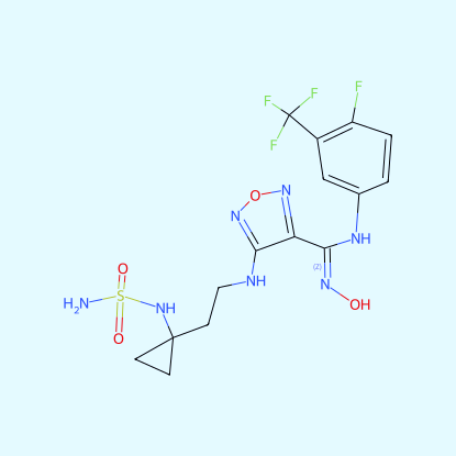 NS(=O)(=O)NC1(CCNc2nonc2/C(=N/O)Nc2ccc(F)c(C(F)(F)F)c2)CC1